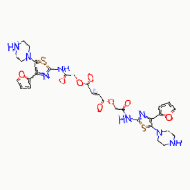 O=C(COC(=O)/C=C/C(=O)OCC(=O)Nc1nc(-c2ccco2)c(N2CCNCC2)s1)Nc1nc(-c2ccco2)c(N2CCNCC2)s1